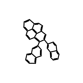 c1ccc2cc(-c3cc4ccc5cccc6ccc(c3-c3ccc7ccccc7c3)c4c56)ccc2c1